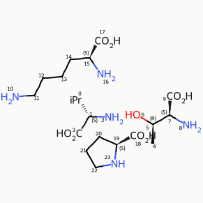 CC(C)[C@H](N)C(=O)O.C[C@@H](O)[C@H](N)C(=O)O.NCCCC[C@H](N)C(=O)O.O=C(O)[C@@H]1CCCN1